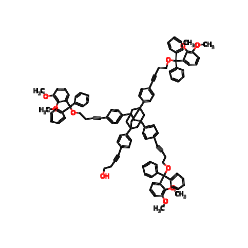 COc1cccc(C(OCCC#Cc2ccc(C34CC5(c6ccc(C#CCCO)cc6)CC(c6ccc(C#CCCOC(c7ccccc7)(c7ccccc7)c7cccc(OC)c7OC)cc6)(C3)CC(c3ccc(C#CCCOC(c6ccccc6)(c6ccccc6)c6cccc(OC)c6OC)cc3)(C5)C4)cc2)(c2ccccc2)c2ccccc2)c1OC